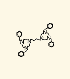 c1ccc(CN2CCN(CCCCN3CCN(Cc4ccccc4)CCN(Cc4ccccc4)CC3)CCN(Cc3ccccc3)CC2)cc1